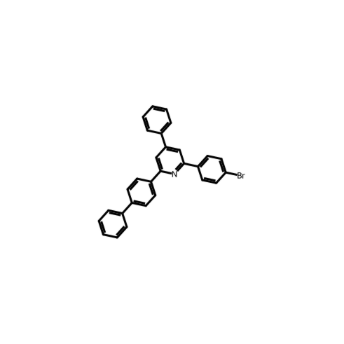 Brc1ccc(-c2cc(-c3ccccc3)cc(-c3ccc(-c4ccccc4)cc3)n2)cc1